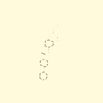 CC(=O)N1CC(CN(C)C)Cc2ccc(NC(=O)c3ccc(-c4ccccc4)cc3)cc21